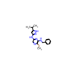 CSc1ncc(Nc2cc(C(C)C)[nH]n2)nc1NCc1ccccc1